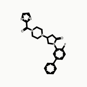 O=C(c1nccs1)N1CCN(C2CC(=O)N(c3cc(-c4ccccc4)ccc3F)C2)CC1